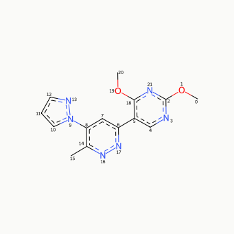 COc1ncc(-c2cc(-n3cccn3)c(C)nn2)c(OC)n1